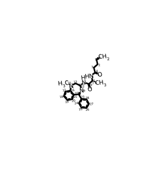 C=CCCC(=O)N[C@@H](C)C(=O)N[C@@H]1CN(C)c2ccccc2C(c2ccccc2)=N1